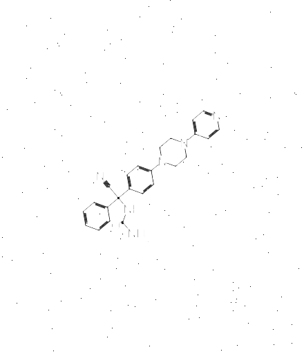 N#CC(NC(N)=O)(c1ccccc1)c1ccc(N2CCN(c3ccncc3)CC2)cc1